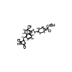 CC(C)(C)OC(=O)N1CCC(CCN2C(=O)CCc3c(CC4SC(=O)NC4=O)cccc32)CC1